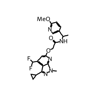 COc1ccc(C(C)NC(=O)COc2cc(C(F)F)c3c(C4CC4)nn(C)c3n2)cn1